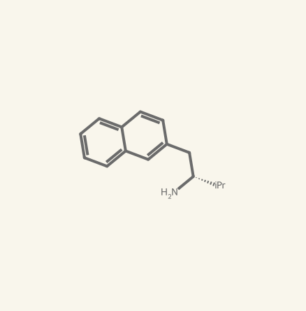 CC(C)[C@H](N)Cc1ccc2ccccc2c1